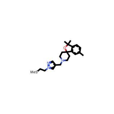 CSCCn1cc(CN2CCC3(CC2)OC(C)(C)c2ccc(C)cc23)cn1